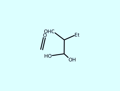 C=O.CCC(C=O)C(O)O